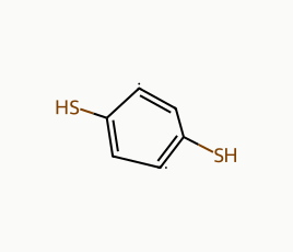 Sc1[c]cc(S)[c]c1